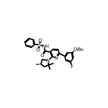 CC(C)COc1cc(F)cc(-c2ccc(C(=O)NS(=O)(=O)c3ccccc3)c(N3C[C@H](C)CC3(C)C)n2)c1